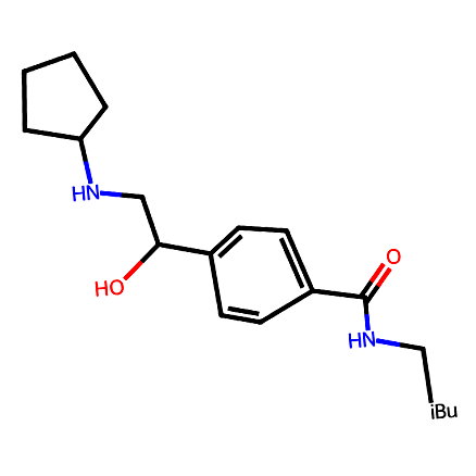 CCC(C)CNC(=O)c1ccc(C(O)CNC2CCCC2)cc1